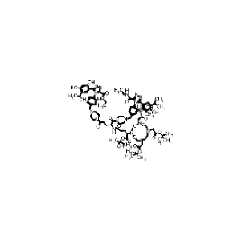 CCNC(=O)c1nnc(-c2cc(C(C)C)c(O)cc2O)n1-c1ccc(CN2CCN(C(=O)CC[C@H](NC(=O)CC[C@H](C(=O)OC(C)(C)C)N3CCN(CC(=O)OC(C)(C)C)CCN(CC(=O)OC(C)(C)C)CCN(CC(=O)OC(C)(C)C)CC3)C(=O)N3CCN(Cc4ccc(-n5c(C(=O)NCC)nnc5-c5cc(C(C)C)c(O)cc5O)cc4)CC3)CC2)cc1